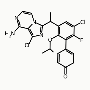 CC(C)Oc1c(C(C)c2nc(Cl)c3c(N)nccn23)cc(Cl)c(F)c1C1=CCC(=O)C=C1